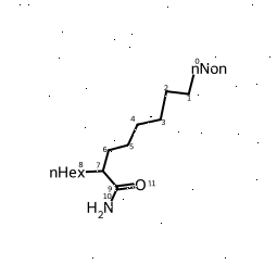 CCCCCCCCCCCCCCCC(CCCCCC)C(N)=O